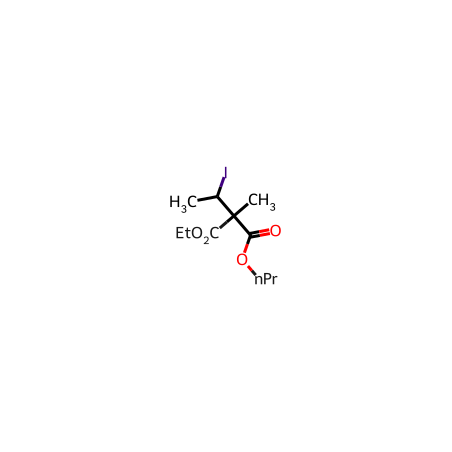 CCCOC(=O)C(C)(C(=O)OCC)C(C)I